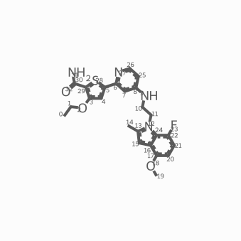 CCOc1cc(-c2cc(NCCn3c(C)cc4c(OC)ccc(F)c43)ccn2)sc1C(N)=O